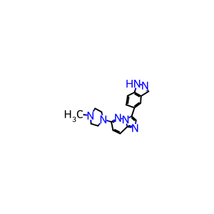 CN1CCN(c2ccc3ncc(-c4ccc5[nH]ncc5c4)n3n2)CC1